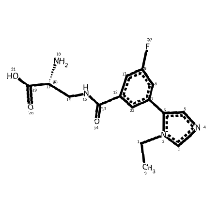 CCn1cncc1-c1cc(F)cc(C(=O)NC[C@@H](N)C(=O)O)c1